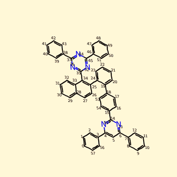 c1ccc(-c2cc(-c3ccccc3)nc(-c3ccc(-c4ccccc4-c4ccc5ccccc5c4-c4nc(-c5ccccc5)nc(-c5ccccc5)n4)cc3)n2)cc1